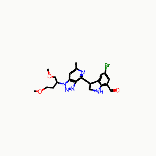 COCCC(COC)n1nnc2c(C3CNc4c(C=O)cc(Br)cc43)nc(C)cc21